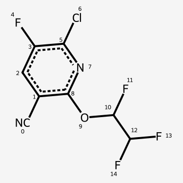 N#Cc1cc(F)c(Cl)nc1OC(F)C(F)F